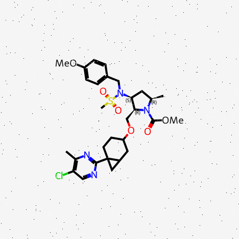 COC(=O)N1[C@H](C)C[C@H](N(Cc2ccc(OC)cc2)S(C)(=O)=O)[C@@H]1COC1CCC2(c3ncc(Cl)c(C)n3)CC2C1